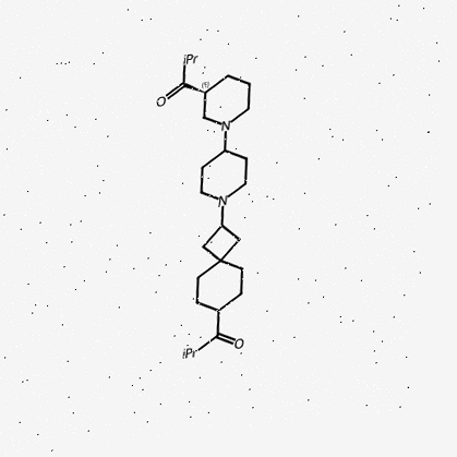 CC(C)C(=O)C1CCC2(CC1)CC(N1CCC(N3CCC[C@H](C(=O)C(C)C)C3)CC1)C2